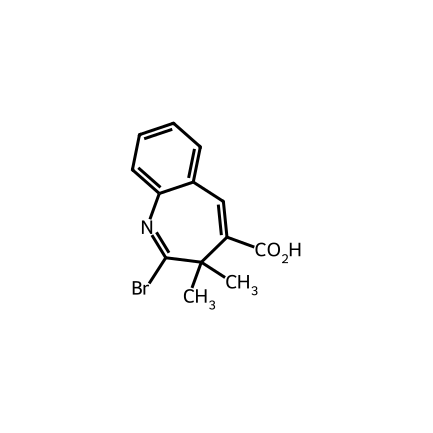 CC1(C)C(C(=O)O)=Cc2ccccc2N=C1Br